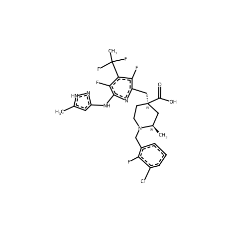 Cc1cc(Nc2nc(C[C@@]3(C(=O)O)CCN(Cc4cccc(Cl)c4F)[C@H](C)C3)c(F)c(C(C)(F)F)c2F)n[nH]1